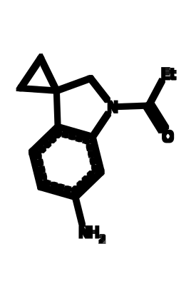 CCC(=O)N1CC2(CC2)c2ccc(N)cc21